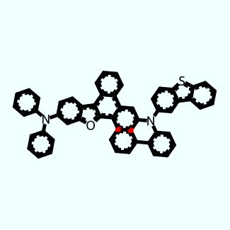 c1ccc(-c2ccccc2N(c2ccc3sc4ccccc4c3c2)c2ccc3c(c2)c2ccccc2c2c4ccc(N(c5ccccc5)c5ccccc5)cc4oc32)cc1